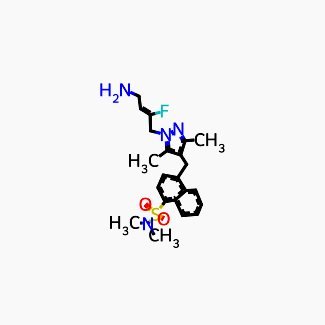 Cc1nn(C/C(F)=C/CN)c(C)c1Cc1ccc(S(=O)(=O)N(C)C)c2ccccc12